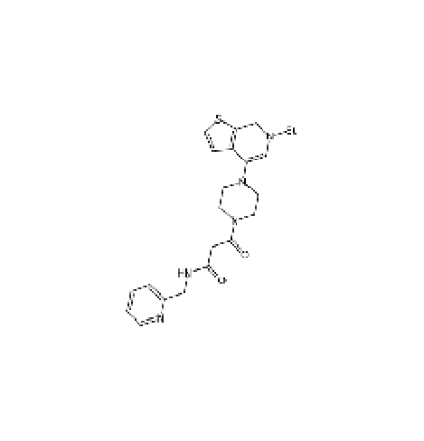 CCN1C=C(N2CCN(C(=O)CC(=O)NCc3ccccn3)CC2)c2ccsc2C1